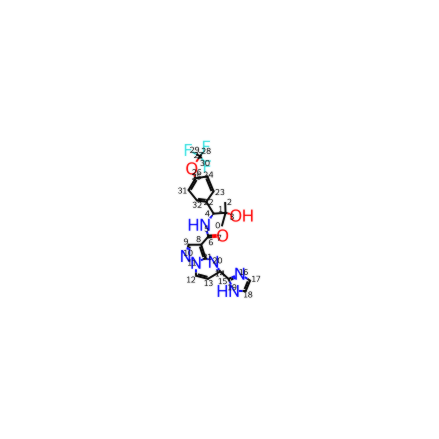 CC(C)(O)[C@@H](NC(=O)c1cnn2ccc(-c3ncc[nH]3)nc12)c1ccc(OC(F)(F)F)cc1